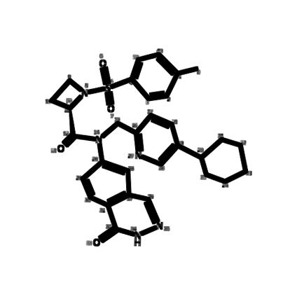 Cc1ccc(S(=O)(=O)N2CC[C@@H]2C(=O)N(Cc2ccc(C3CCCCC3)cn2)c2ccc3c(=O)[nH]ncc3c2)cc1